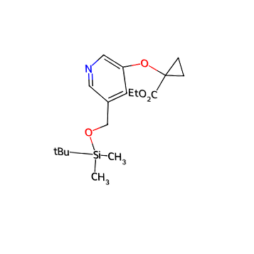 CCOC(=O)C1(Oc2cncc(CO[Si](C)(C)C(C)(C)C)c2)CC1